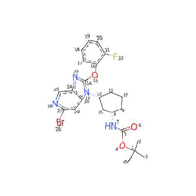 CC(C)(C)OC(=O)N[C@H]1CCC[C@@H](n2c(Oc3ccccc3F)nc3cnc(Br)cc32)C1